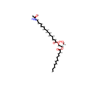 CCCCCCCCCCCC(=O)O[C@@H](CO)COC(=O)CCCCCCCCCCCCCNC(C)=O